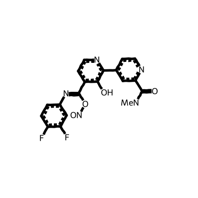 CNC(=O)c1cc(-c2nccc(/C(=N/c3ccc(F)c(F)c3)ON=O)c2O)ccn1